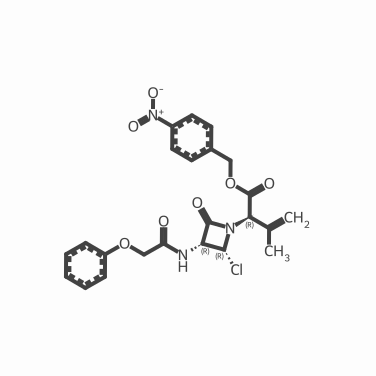 C=C(C)[C@H](C(=O)OCc1ccc([N+](=O)[O-])cc1)N1C(=O)[C@@H](NC(=O)COc2ccccc2)[C@H]1Cl